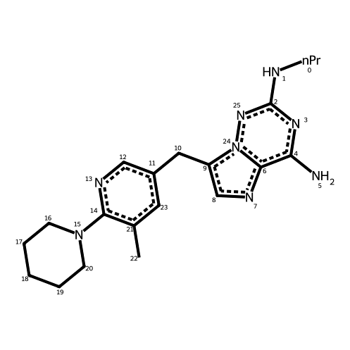 CCCNc1nc(N)c2ncc(Cc3cnc(N4CCCCC4)c(C)c3)n2n1